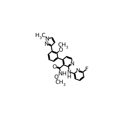 CONC(=O)c1c(-c2cccc(-c3ccn(C)n3)c2OC)ccnc1Nc1cccc(F)n1